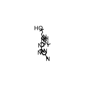 CC(C)Nc1cc(-c2cnc3cc(C#N)cnn23)ncc1-n1cc(CCC(C)(C)O)nn1